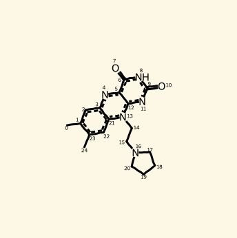 Cc1cc2nc3c(=O)[nH]c(=O)nc-3n(CCN3CCCC3)c2cc1C